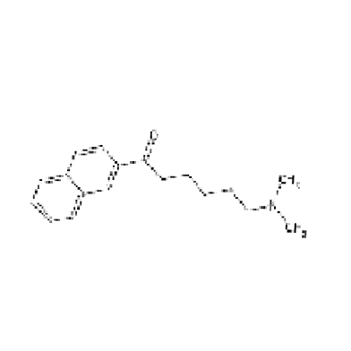 CN(C)CCCCCC(=O)c1ccc2ccccc2c1